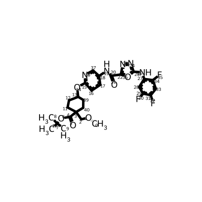 COCC1(C(=O)OC(C)(C)C)CCC(Oc2ccc(NC(=O)c3nnc(Nc4cc(F)c(F)cc4F)o3)cn2)CC1